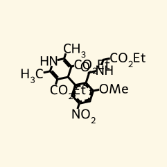 CCOC(=O)CNC(=O)c1c(OC)cc([N+](=O)[O-])cc1C1C(C(=O)OCC)=C(C)NC(C)=C1C(=O)OCC